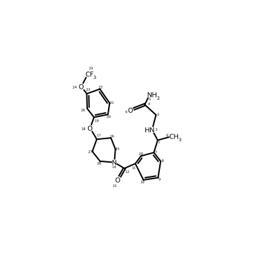 CC(NCC(N)=O)c1cccc(C(=O)N2CCC(Oc3cccc(OC(F)(F)F)c3)CC2)c1